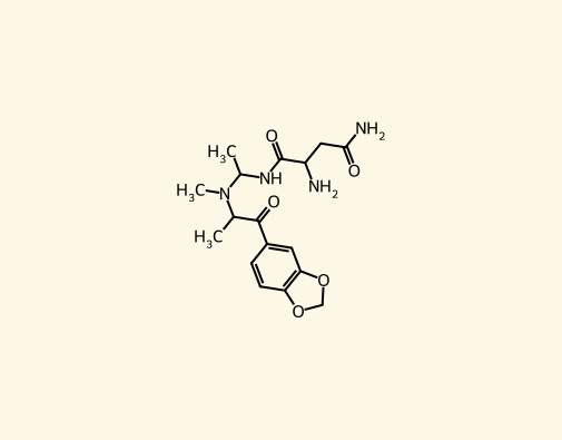 CC(NC(=O)C(N)CC(N)=O)N(C)C(C)C(=O)c1ccc2c(c1)OCO2